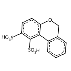 O=S(=O)(O)c1ccc2c(c1S(=O)(=O)O)-c1ccccc1CO2